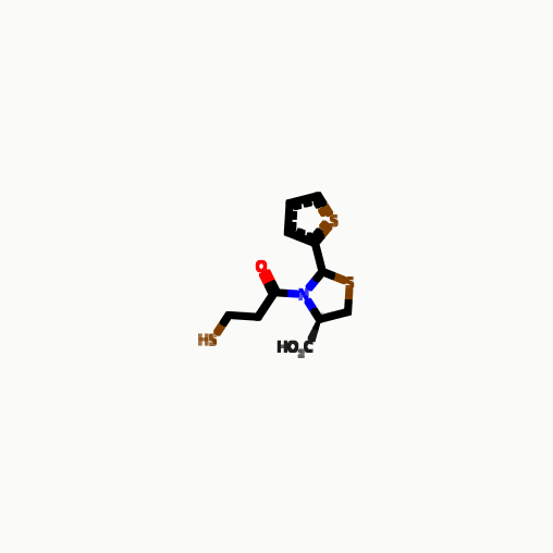 O=C(O)[C@@H]1CSC(c2cccs2)N1C(=O)CCS